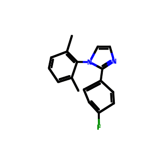 Cc1cccc(C)c1-n1ccnc1-c1ccc(F)cc1